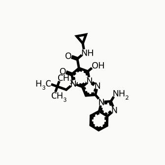 CC(C)(C)Cn1c(=O)c(C(=O)NC2CC2)c(O)n2nc(-n3c(N)nc4ccccc43)cc12